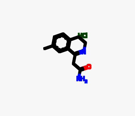 Cc1ccc2c(c1)C(CC(N)=O)=NCC2.Cl